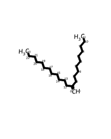 [CH]=C(CCCCCCCCCC)CCCCCCCCCCCC